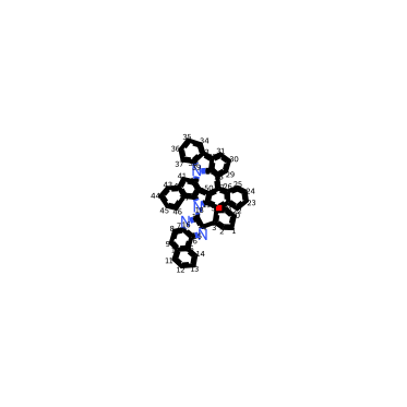 c1ccc(-c2nc3c(ccc4ccccc43)nc2-n2c3cc4ccccc4c4c5cccc6c7ccccc7n(c7cc8ccccc8c2c7c43)c65)cc1